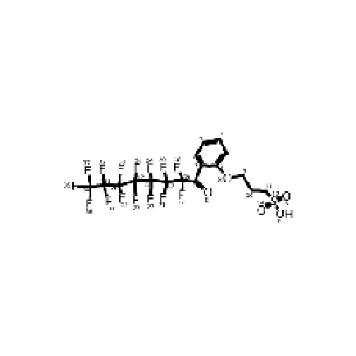 O=C(c1ccccc1OCCCS(=O)(=O)O)C(F)(F)C(F)(F)C(F)(F)C(F)(F)C(F)(F)C(F)(F)C(F)(F)F